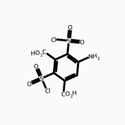 Nc1cc(C(=O)O)c(S(=O)(=O)Cl)c(C(=O)O)c1S(=O)(=O)Cl